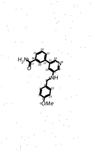 COc1ccc(CNc2cncc(-c3cccc(C(N)=O)c3)c2)cc1